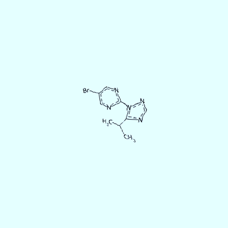 CC(C)c1ncnn1-c1ncc(Br)cn1